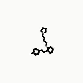 Fc1ccc(CCc2ccccc2OCCCCN2CCCC2)cc1